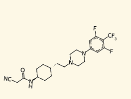 N#CCC(=O)N[C@H]1CC[C@H](CCN2CCN(c3cc(F)c(C(F)(F)F)c(F)c3)CC2)CC1